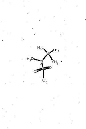 CN([Si](C)(C)C)S(=O)(=O)C(F)(F)F